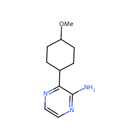 COC1CCC(c2nccnc2N)CC1